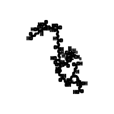 CC(C)(C)S(F)(c1ccc(C(=O)NC[C@@H](C(=O)N[C@@H](CCCCNC(=O)CCC(=O)NCCC[C@@H](NC(=O)CC[C@H](NC(=O)N[C@@H](CCCC(=O)O)C(=O)O)C(=O)O)C(=O)O)C(=O)O)n2cc(CNC(=O)CCP(=O)(O)CN3CCN(CPCCC(=O)O)CCN(CP(=O)(O)CCC(=O)O)CC3)nn2)cc1)C(C)(C)C